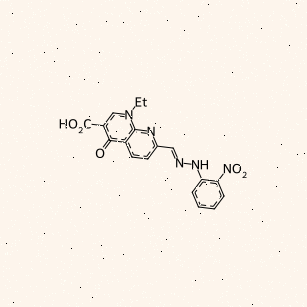 CCn1cc(C(=O)O)c(=O)c2ccc(C=NNc3ccccc3[N+](=O)[O-])nc21